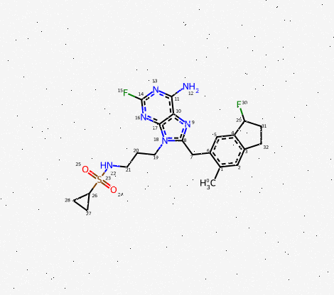 Cc1cc2c(cc1Cc1nc3c(N)nc(F)nc3n1CCCNS(=O)(=O)C1CC1)C(F)CC2